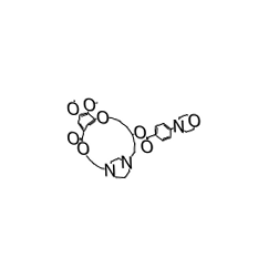 COc1cc2cc(c1OC)OCCCC(OC(=O)c1ccc(N3CCOCC3)cc1)CCN1CCCN(CCCOC2=O)CC1